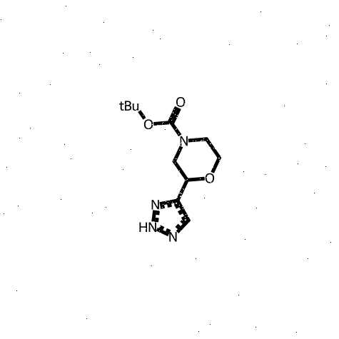 CC(C)(C)OC(=O)N1CCOC(c2cn[nH]n2)C1